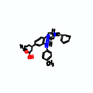 CCC(CC(=O)O)c1ccc(N2C[C@@H]3C[C@H]2CN3Cc2ccccc2)c(Nc2ccc(C)cc2)c1